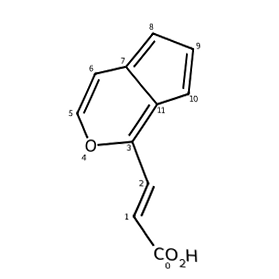 O=C(O)C=Cc1occc2cccc1-2